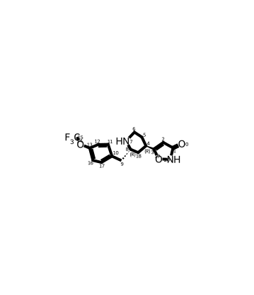 O=c1cc([C@@H]2CCN[C@@H](Cc3ccc(OC(F)(F)F)cc3)C2)o[nH]1